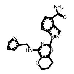 NC(=O)c1cccc2c1cnn2-c1nc2c(c(NCc3cccs3)n1)OCCC2